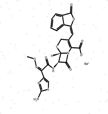 CO/N=C(\C(=O)N[C@@H]1C(=O)N2C(C(=O)[O-])=C(/C=C3/OC(=O)c4ccccc43)CS[C@@H]12)c1csc(N)n1.[Na+]